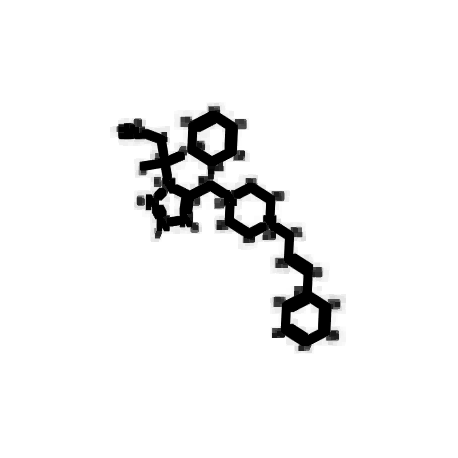 CC(C)(C)CC(C)(C)n1nnnc1[C@H](C1C=CC=CC1)N1CCN(C/C=C/c2ccccc2)CC1